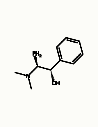 CN(C)[C@@H](P)[C@@H](O)c1ccccc1